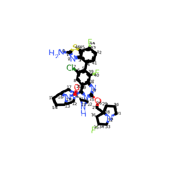 Nc1nc2c(-c3c(Cl)cc4c(N5CC6CCC(C5)N6C(=O)[C@@H]5CN5)nc(OCC56CCCN5C[C@H](F)C6)nc4c3F)ccc(F)c2s1